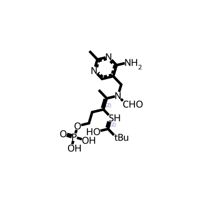 C/C(=C(CCOP(=O)(O)O)/[SH]=C(\O)C(C)(C)C)N(C=O)Cc1cnc(C)nc1N